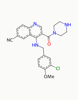 COc1ccc(CNc2c(C(=O)N3CCNCC3)cnc3ccc(C#N)cc23)cc1Cl